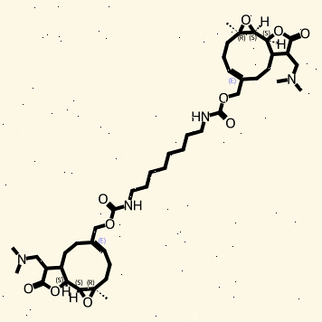 CN(C)CC1C(=O)O[C@H]2C1CC/C(COC(=O)NCCCCCCCCNC(=O)OC/C1=C/CC[C@@]3(C)O[C@H]3[C@H]3OC(=O)C(CN(C)C)C3CC1)=C\CC[C@@]1(C)O[C@@H]21